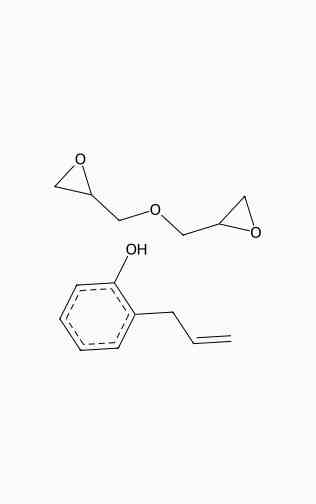 C(OCC1CO1)C1CO1.C=CCc1ccccc1O